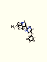 CC(C)(C)C1=NCC=C(c2ncc(Cc3ccccc3)cn2)C1